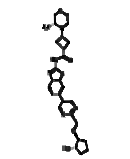 O=C(Nc1nc2ccc(-c3cnc(CO[C@H]4CCC[C@@H]4O)nc3)cc2s1)C1CC(N2CCOC[C@H]2C(F)(F)F)C1